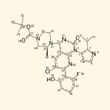 CC(C)c1ncsc1-n1c(=O)nc(N2CCN(C(=O)OC(C)(C)C)C[C@@H]2C)c2cc(Cl)c(-c3c(O)cccc3F)nc21